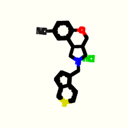 Cl.N#Cc1ccc2c(c1)C1CN(Cc3ccc4csccc3-4)CC1CO2